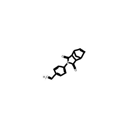 C=Cc1ccc(N2C(=O)C3C4C=CC(C4)C3C2=O)cc1